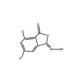 CC(C)N=C1OC(=O)c2c(Cl)cc(Cl)cc21